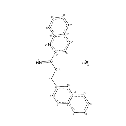 Br.N=C(SCc1ccc2ccccc2c1)c1ccc2ccccc2n1